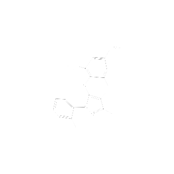 COc1cc(C)c(Nc2c(Br)c(C)nn2-c2ccccc2C)c(C(=O)O)c1